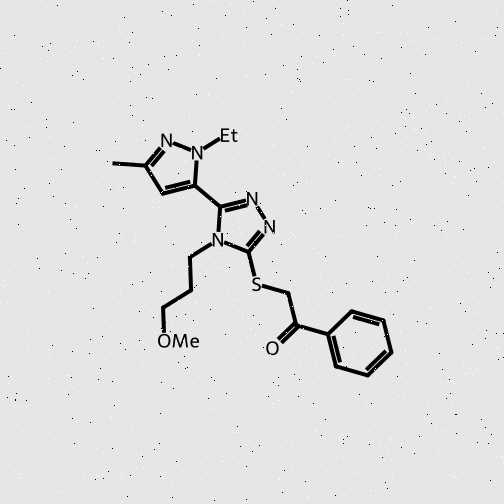 CCn1nc(C)cc1-c1nnc(SCC(=O)c2ccccc2)n1CCCOC